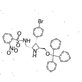 O=[N+]([O-])c1ccccc1S(=O)(=O)NC[C@H]1N[C@H](COC(c2ccccc2)(c2ccccc2)c2ccccc2)[C@H]1c1ccc(Br)cc1